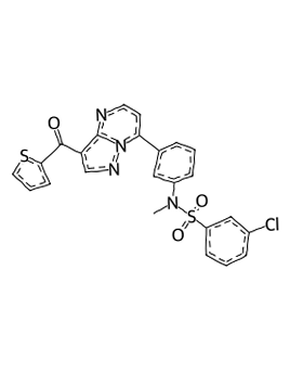 CN(c1cccc(-c2ccnc3c(C(=O)c4cccs4)cnn23)c1)S(=O)(=O)c1cccc(Cl)c1